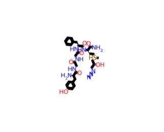 C[SH](CC[C@H](NC(=O)[C@H](Cc1ccccc1)NC(=O)CNC(=O)CNC(=O)[C@@H](N)Cc1ccc(O)cc1)C(N)=O)CC(O)CN=[N+]=[N-]